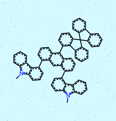 Cn1c2ccccc2c2c(-c3cccc4c(-c5cccc6c5-c5ccccc5C65c6ccccc6-c6ccccc65)c5cccc(-c6cccc7c6c6ccccc6n7C)c5cc34)cccc21